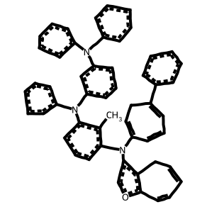 Cc1c(N(C2=CCC(c3ccccc3)=CC=C2)c2coc3c2CC=CC=C3)cccc1N(c1ccccc1)c1cccc(N(c2ccccc2)c2ccccc2)c1